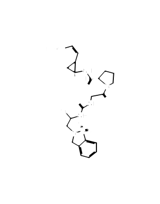 CCCCC/C=C\C1C[C@]1(NC(=O)[C@@H]1CCCN1C(=O)CNC(=O)NC(CN1Cc2ccccc2S1(=O)=O)C(C)(C)C)C(=O)O